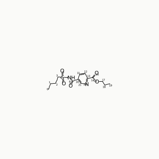 CCCCS(=O)(=O)NC(=O)c1ccc(C(=O)OCCC)nc1